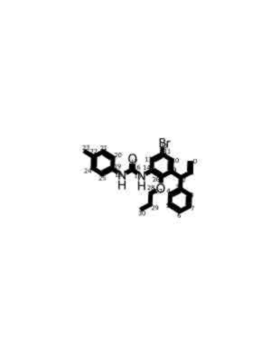 C=CC(c1ccccc1)c1cc(Br)cc(NC(=O)Nc2ccc(C)cc2)c1OCCC